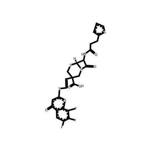 O=C(CCc1cccs1)NC1C(=O)N2CC(C=CSc3cc(=O)c4cc(F)c(F)c(F)c4s3)(C(=O)O)CS[C@H]12